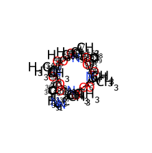 CC(C)CC1C(=O)O[C@H](C)C(=O)N(C)[C@@H](CC(C)C)C(=O)O[C@H](Cc2ccc(Cn3ccnc3)cc2)C(=O)N(C)[C@@H](CC(C)C)C(=O)O[C@H](C)C(=O)N(C)[C@@H](CC(C)C)C(=O)O[C@H](Cc2ccccc2)C(=O)N1C